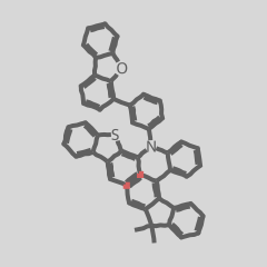 CC1(C)c2ccccc2-c2c(-c3ccccc3N(c3cccc(-c4cccc5c4oc4ccccc45)c3)c3cccc4c3sc3ccccc34)cccc21